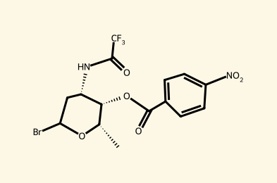 C[C@@H]1OC(Br)C[C@H](NC(=O)C(F)(F)F)[C@@H]1OC(=O)c1ccc([N+](=O)[O-])cc1